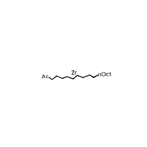 CCCCCCCCCCCCCCCCCC(C)=O.[Zr]